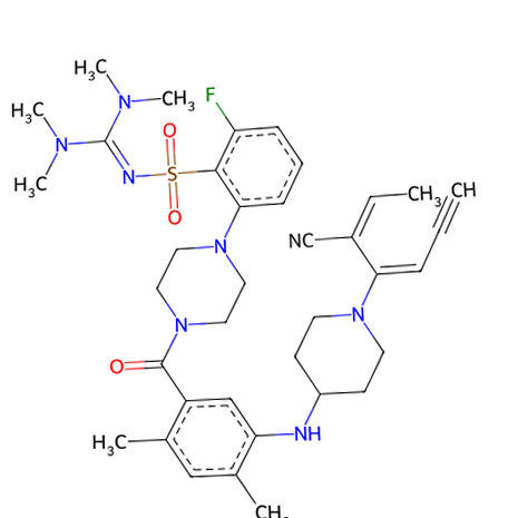 C#C/C=C(\C(C#N)=C/C)N1CCC(Nc2cc(C(=O)N3CCN(c4cccc(F)c4S(=O)(=O)N=C(N(C)C)N(C)C)CC3)c(C)cc2C)CC1